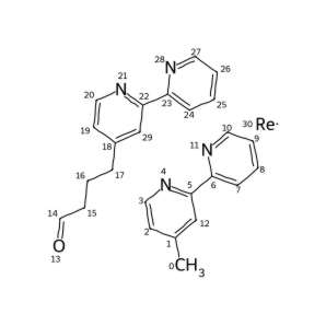 Cc1ccnc(-c2ccccn2)c1.O=CCCCc1ccnc(-c2ccccn2)c1.[Re]